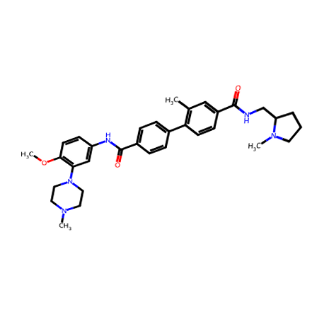 COc1ccc(NC(=O)c2ccc(-c3ccc(C(=O)NCC4CCCN4C)cc3C)cc2)cc1N1CCN(C)CC1